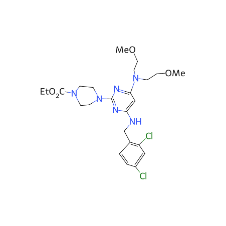 CCOC(=O)N1CCN(c2nc(NCc3ccc(Cl)cc3Cl)cc(N(CCOC)CCOC)n2)CC1